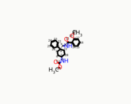 COC(=O)N[C@H]1CC[C@@](CNC(=O)c2ccccc2OC)(c2ccccc2)CC1